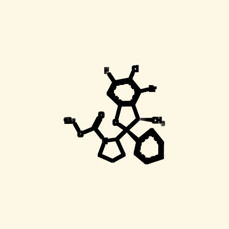 C[C@H]1c2c(cc(F)c(Cl)c2Br)O[C@@]1(c1ccccc1)C1CCCN1C(=O)OC(C)(C)C